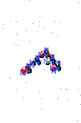 CN1CCC2(CCCN2c2ccno2)C1.CN1CCC2(CCCN2c2ccns2)C1.CN1CCC2(CCCN2c2cncnc2)C1.CN1CCC2(CCCN2c2ncno2)C1.CN1CCC2(CCCN2c2nnco2)C1